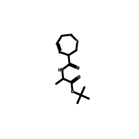 CC(NC(=O)C1CS[C]C[C]=N1)C(=O)OC(C)(C)C